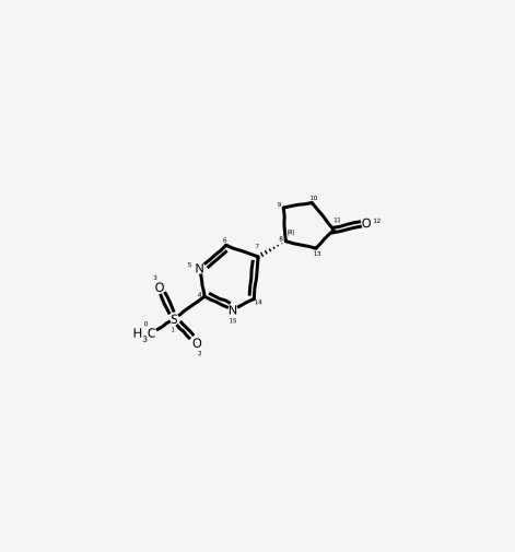 CS(=O)(=O)c1ncc([C@@H]2CCC(=O)C2)cn1